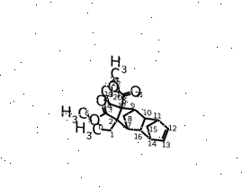 CCC1(C(=O)OC)C2CC(C3C4C=CC(C4)C32)C1(CC)C(=O)OC